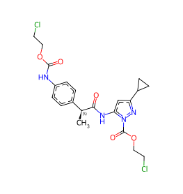 C[C@H](C(=O)Nc1cc(C2CC2)nn1C(=O)OCCCl)c1ccc(NC(=O)OCCCl)cc1